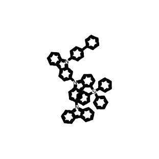 c1ccc(-c2ccc(-n3c4ccccc4c4ccc(-n5c6ccc(-n7c8ccccc8c8ccccc87)cc6c6c([Si](c7ccccc7)(c7ccccc7)c7ccccc7)cccc65)cc43)cc2)cc1